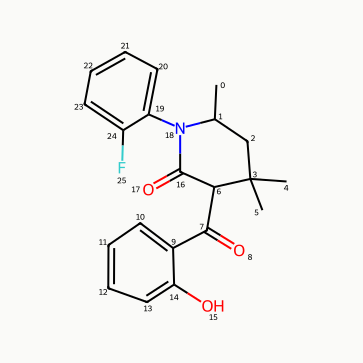 CC1CC(C)(C)C(C(=O)c2ccccc2O)C(=O)N1c1ccccc1F